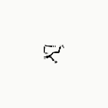 CC(C)(C)OO.CCCC(=O)O